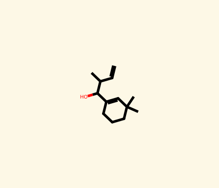 C=CC(C)C(O)C1=CC(C)(C)CCC1